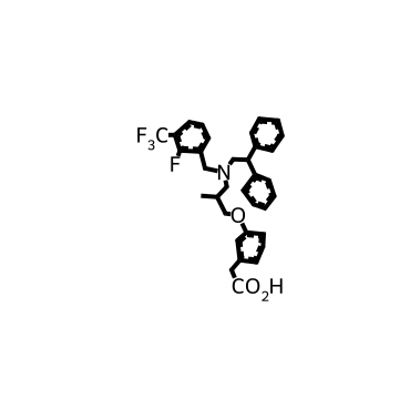 CC(COc1cccc(CC(=O)O)c1)CN(Cc1cccc(C(F)(F)F)c1F)CC(c1ccccc1)c1ccccc1